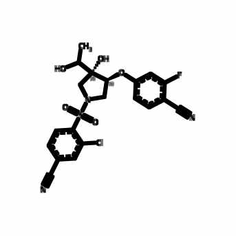 CC(O)[C@]1(O)CN(S(=O)(=O)c2ccc(C#N)cc2Cl)C[C@@H]1Oc1ccc(C#N)c(F)c1